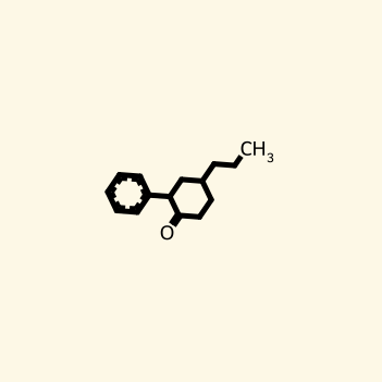 CCCC1CCC(=O)C(c2ccccc2)C1